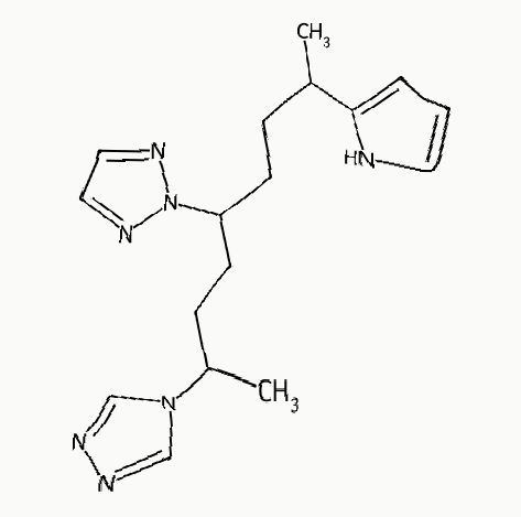 CC(CCC(CCC(C)n1cnnc1)n1nccn1)c1ccc[nH]1